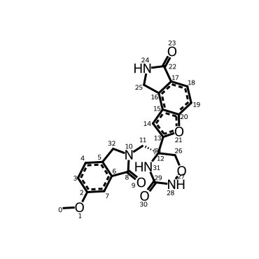 COc1ccc2c(c1)C(=O)N(C[C@]1(c3cc4c5c(ccc4o3)C(=O)NC5)CONC(=O)N1)C2